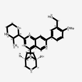 COc1ccc(-c2cc3nc(C4OCCNC4C)nc(N4[C@@H]5CC[C@H]4COC5)c3cn2)cc1CO